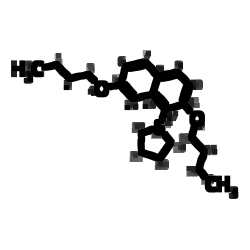 CCCCOc1ccc2ccc(OCCCC)c([S+]3CCCC3)c2c1